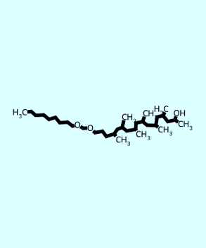 CCCCCCCCCOCOCCCC(C)CC(C)CC(C)CC(C)CC(C)CC(C)CC(C)O